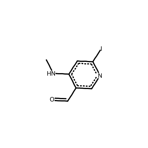 CNc1cc(I)ncc1C=O